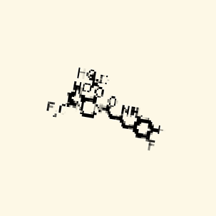 N[C@@H](CC(=O)N1CCn2c(C(F)(F)F)cnc2C1OP(=O)(O)O)Cc1cc(F)c(F)cc1F